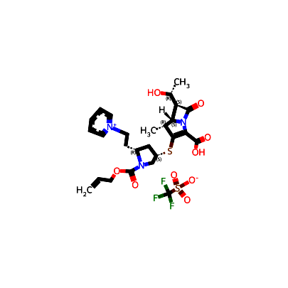 C=CCOC(=O)N1C[C@@H](SC2=C(C(=O)O)N3C(=O)[C@H]([C@@H](C)O)[C@H]3[C@H]2C)C[C@H]1CC[n+]1ccccc1.O=S(=O)([O-])C(F)(F)F